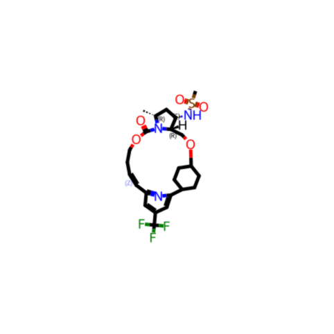 C[C@@H]1C[C@H](NS(C)(=O)=O)[C@@H]2COC3CCC(CC3)c3cc(C(F)(F)F)cc(n3)/C=C\CCOC(=O)N12